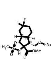 CCCCOC[C@H]1[C@@H]2CCC(F)(F)C[C@H]2CC1(NS(C)(=O)=O)C(=O)OC